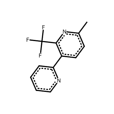 Cc1ccc(-c2ccccn2)c(C(F)(F)F)n1